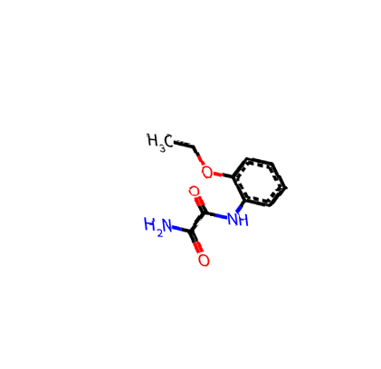 CCOc1ccccc1NC(=O)C(N)=O